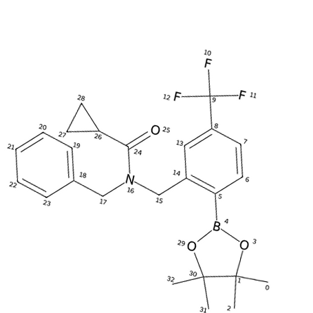 CC1(C)OB(c2ccc(C(F)(F)F)cc2CN(Cc2ccccc2)C(=O)C2CC2)OC1(C)C